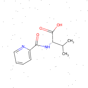 CC(C)[C@H](NC(=O)c1ccccn1)C(=O)O